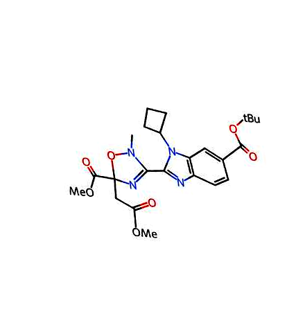 COC(=O)CC1(C(=O)OC)N=C(c2nc3ccc(C(=O)OC(C)(C)C)cc3n2C2CCC2)N(C)O1